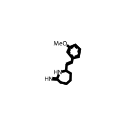 COc1cccc(/C=C/C2CCCCC(=N)N2)c1